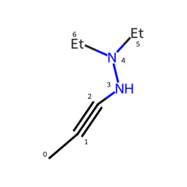 CC#CNN(CC)CC